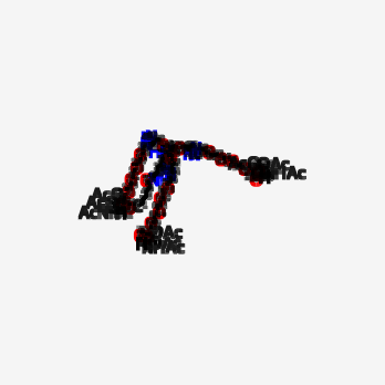 CCOC(=O)CCCCCC(=O)NCCCCCC(=O)NC(COCc1cn(CCOCCOCCOCCOC[C@@]23CO[C@@H](O2)[C@H](NC(C)=O)[C@@H](OC(C)=O)[C@H]3OC(C)=O)nn1)(COCc1cn(CCOCCOCCOCCOC[C@@]23CO[C@@H](O2)[C@H](NC(C)=O)[C@@H](OC(C)=O)[C@H]3OC(C)=O)nn1)COCc1cn(CCOCCOCCOCCOC[C@@]23CO[C@@H](O2)[C@H](NC(C)=O)[C@@H](OC(C)=O)[C@H]3OC(C)=O)nn1